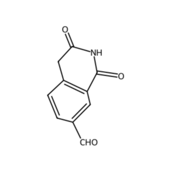 O=Cc1ccc2c(c1)C(=O)NC(=O)C2